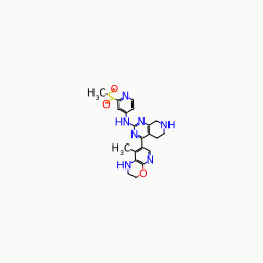 Cc1c(-c2nc(Nc3ccnc(S(C)(=O)=O)c3)nc3c2CCNC3)cnc2c1NCCO2